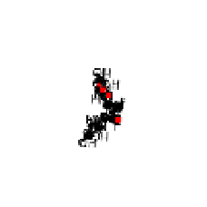 O=C(c1ccc(F)cc1N1CC[C@@H](Nc2ncnc3c2ncn3[C@@H]2O[C@H](CO)C[C@H]2O)C1)c1ccc(F)cc1N1CC[C@@H](Nc2ncnc3c2ncn3[C@@H]2O[C@H](CO)C[C@H]2O)C1